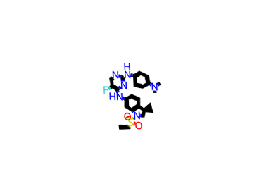 C=CS(=O)(=O)N1CC2(CC2)c2ccc(Nc3nc(Nc4ccc(N(C)C)cc4)ncc3F)cc21